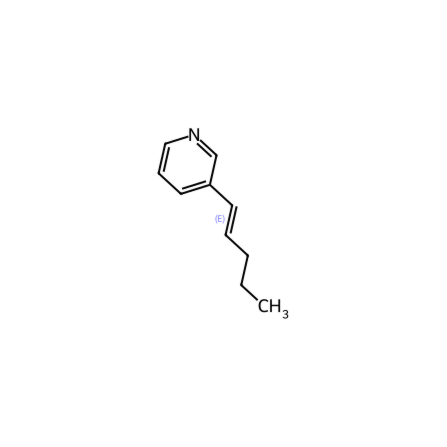 CCC/C=C/c1cccnc1